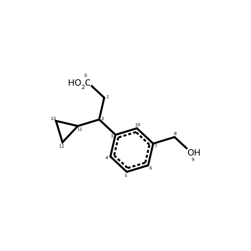 O=C(O)CC(c1cccc(CO)c1)C1CC1